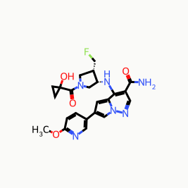 COc1ccc(-c2cc3c(N[C@@H]4CN(C(=O)C5(O)CC5)C[C@@H]4CF)c(C(N)=O)cnn3c2)cn1